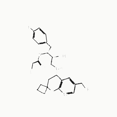 CC(C)(C)Cc1cnc2c(c1)[C@@H](NC[C@H](O)[C@H](Cc1ccc(F)cc1)NC(=O)CF)CC1(CCC1)O2